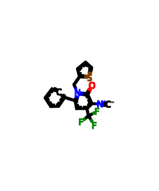 [C-]#[N+]c1c(C(F)(F)F)cc(-c2ccccc2)n(Cc2cccs2)c1=O